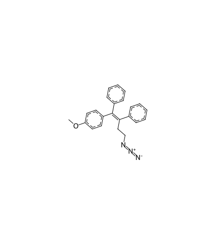 COc1ccc(/C(=C(\CCN=[N+]=[N-])c2ccccc2)c2ccccc2)cc1